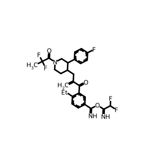 C=C(CC1CCN(C(=O)C(C)(F)F)CC1c1ccc(F)cc1)C(=O)c1cc(C(=N)OC(=N)C(F)F)ccc1CC